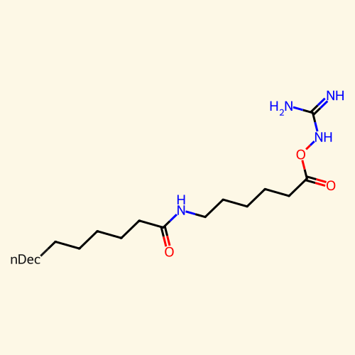 CCCCCCCCCCCCCCCC(=O)NCCCCCC(=O)ONC(=N)N